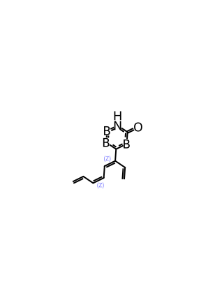 C=C/C=C\C=C(/C=C)c1bb[nH]c(=O)b1